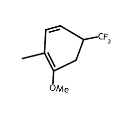 COC1=C(C)C=CC(C(F)(F)F)C1